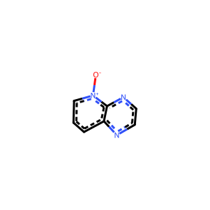 [O-][n+]1cccc2nccnc21